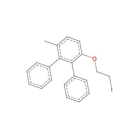 Cc1ccc(OCCI)c(-c2ccccc2)c1-c1ccccc1